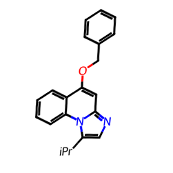 CC(C)c1cnc2cc(OCc3ccccc3)c3ccccc3n12